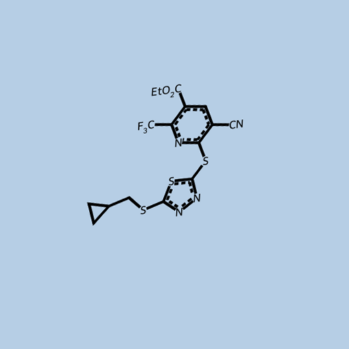 CCOC(=O)c1cc(C#N)c(Sc2nnc(SCC3CC3)s2)nc1C(F)(F)F